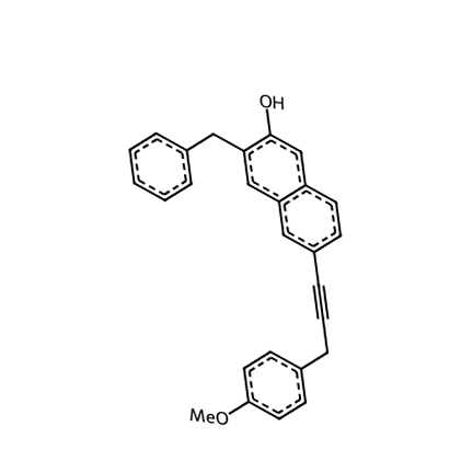 COc1ccc(CC#Cc2ccc3cc(O)c(Cc4ccccc4)cc3c2)cc1